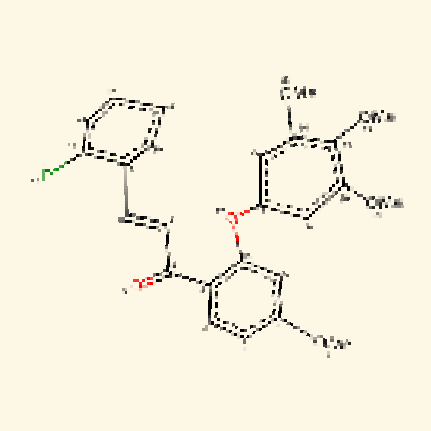 COc1ccc(C(=O)/C=C/c2ccccc2F)c(Oc2cc(OC)c(OC)c(OC)c2)c1